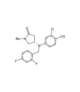 CCC(C)N1C[C@@H](N(Cc2ccc(F)cc2F)c2ccc(C#N)c(Cl)c2)CC1=O